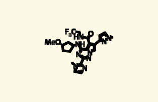 CO[C@H]1CC[C@H](Nc2nc(-c3nccn3C)nn3cc(-c4ccn(C)n4)c(C(=O)NCC(F)(F)F)c23)C1